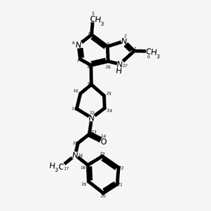 Cc1nc2c(C)ncc(C3CCN(C(=O)CN(C)c4ccccc4)CC3)c2[nH]1